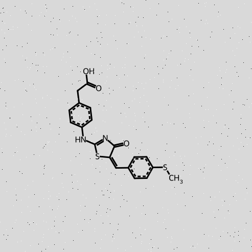 CSc1ccc(C=C2SC(Nc3ccc(CC(=O)O)cc3)=NC2=O)cc1